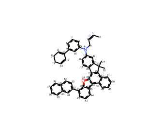 C/C=C\CN(c1cccc(C2=CCCC=C2)c1)c1ccc2c(c1)C(C)(C)c1c-2c2oc3c(-c4ccc5ccccc5c4)cccc3c2c2ccccc12